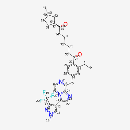 CCc1cc(Cc2nccn3c(-c4cn(C)nc4C(F)(F)F)cnc23)ccc1C(=O)CCCCCC(=O)[C@H]1CC[C@H](C)C1